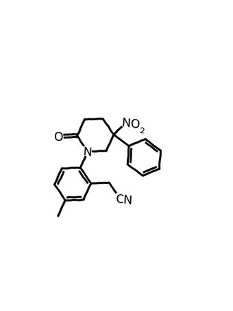 Cc1ccc(N2CC(c3ccccc3)([N+](=O)[O-])CCC2=O)c(CC#N)c1